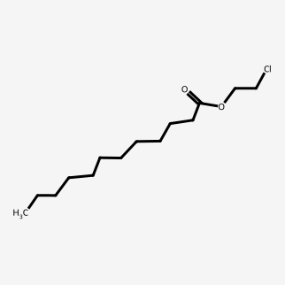 CCCCCCCCCCCC(=O)OCCCl